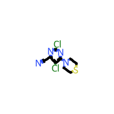 N#Cc1nc(Cl)nc(N2CCSCC2)c1Cl